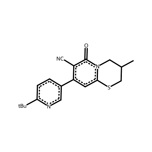 CC1CSc2cc(-c3ccc(C(C)(C)C)nc3)c(C#N)c(=O)n2C1